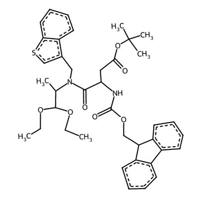 CCOC(OCC)C(C)N(Cc1csc2ccccc12)C(=O)C(CC(=O)OC(C)(C)C)NC(=O)OCC1c2ccccc2-c2ccccc21